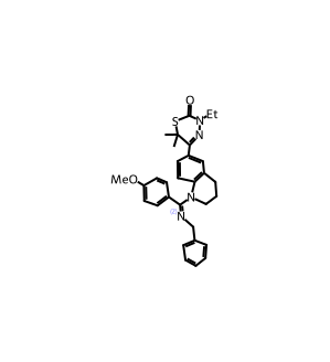 CCN1N=C(c2ccc3c(c2)CCCN3/C(=N\Cc2ccccc2)c2ccc(OC)cc2)C(C)(C)SC1=O